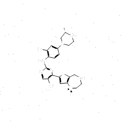 CCc1cc(N2CCN[C@H](C)C2)ccc1Nc1ncc(C(F)(F)F)c(-c2cc3c(s2)CNCCS3(=O)=O)n1